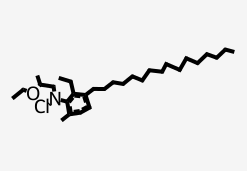 CCCCCCCCCCCCCCCCc1ccc(C)c(N(Cl)CC(C)OCC)c1CC